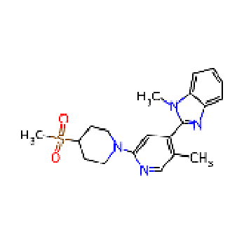 Cc1cnc(N2CCC(S(C)(=O)=O)CC2)cc1-c1nc2ccccc2n1C